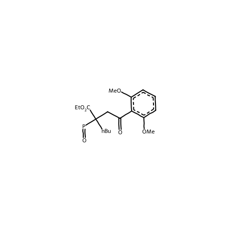 CCCCC(CC(=O)c1c(OC)cccc1OC)(P=O)C(=O)OCC